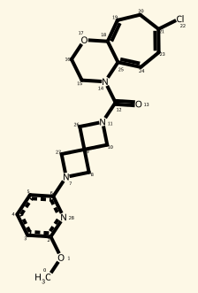 COc1cccc(N2CC3(CN(C(=O)N4CCOC5=CCC(Cl)=CC=C54)C3)C2)n1